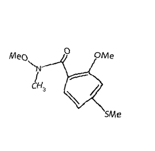 COc1cc(SC)ccc1C(=O)N(C)OC